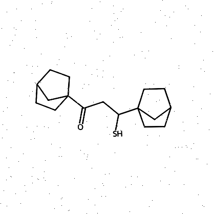 O=C(CC(S)C12CCC(CC1)C2)C12CCC(CC1)C2